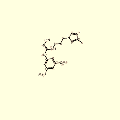 COc1cc(NC(=NC#N)NCCCn2cnc(C)c2)cc(OC)c1